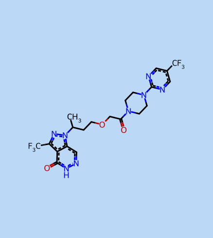 CC(CCOCC(=O)N1CCN(c2ncc(C(F)(F)F)cn2)CC1)n1nc(C(F)(F)F)c2c(=O)[nH]ncc21